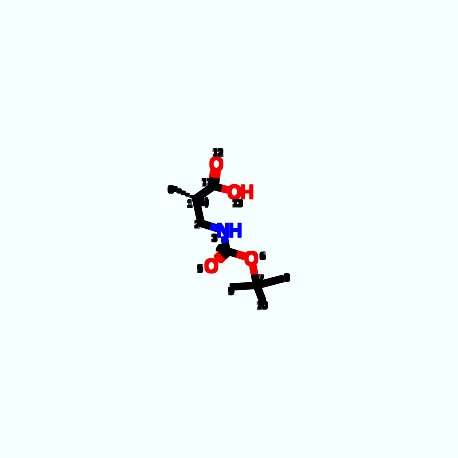 C[C@@H](CNC(=O)OC(C)(C)C)C(=O)O